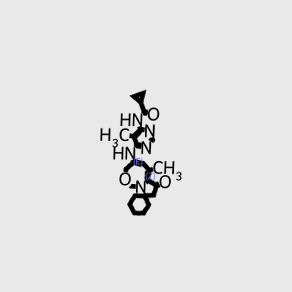 CC1=C2\C(=O)CC3(CCCCC3)N2COC/C(Nc2ncnc(NC(=O)C3CC3)c2C)=C\1